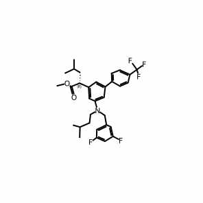 COC(=O)[C@H](CC(C)C)c1cc(-c2ccc(C(F)(F)F)cc2)cc(N(CCC(C)C)Cc2cc(F)cc(F)c2)c1